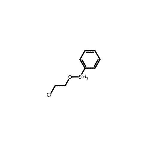 ClCCO[SiH2]c1ccccc1